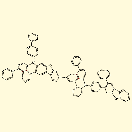 c1ccc(-c2ccc(N(c3ccc(-c4cc5oc6ccccc6c5cc4-c4ccccc4)cc3)c3ccccc3-c3cccc(-c4ccc5c(c4)oc4cc(N(c6ccc(-c7ccccc7)cc6)c6ccc(-c7ccccc7)cc6)c(-c6ccccc6)cc45)c3)cc2)cc1